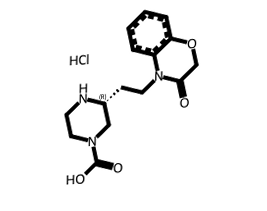 Cl.O=C(O)N1CCN[C@H](CCN2C(=O)COc3ccccc32)C1